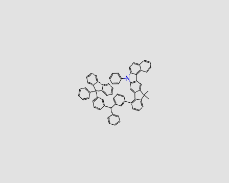 CC1(C)c2cc3c4c5ccccc5ccc4n(-c4ccccc4)c3cc2-c2c(-c3cccc(C(c4ccccc4)c4cccc(C5(c6ccccc6)c6ccccc6-c6ccccc65)c4)c3)cccc21